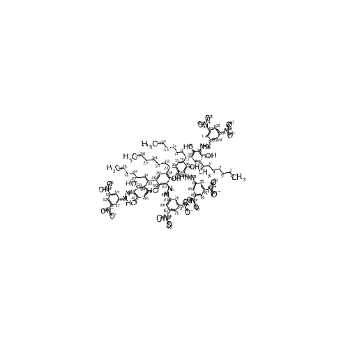 CCCCCCC(C)c1cc(C(CCCCCC)c2cc(C(CCCCCC)c3cc(C(CCCCCC)c4ccc(O)c(N=Nc5cc([N+](=O)[O-])cc([N+](=O)[O-])c5)c4O)c(O)c(N=Nc4cc([N+](=O)[O-])cc([N+](=O)[O-])c4)c3O)c(O)c(N=Nc3cc([N+](=O)[O-])cc([N+](=O)[O-])c3)c2O)c(O)c(N=Nc2cc([N+](=O)[O-])cc([N+](=O)[O-])c2)c1O